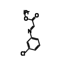 CC(C)OC(=O)C=Nc1cccc(Cl)c1